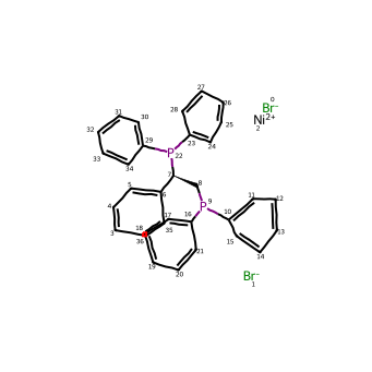 [Br-].[Br-].[Ni+2].c1ccc([C@H](CP(c2ccccc2)c2ccccc2)P(c2ccccc2)c2ccccc2)cc1